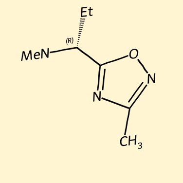 CC[C@@H](NC)c1nc(C)no1